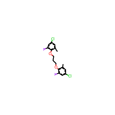 Cc1cc(Cl)cc(I)c1OCCCOc1c(C)cc(Cl)cc1I